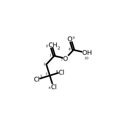 C=C(CC(Cl)(Cl)Cl)OC(=O)O